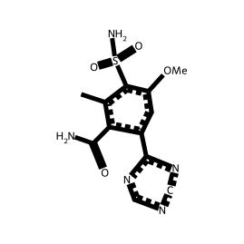 COc1cc(-c2ncncn2)c(C(N)=O)c(C)c1S(N)(=O)=O